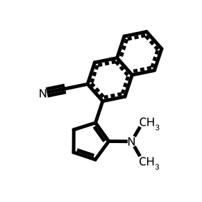 CN(C)C1=C(c2cc3ccccc3cc2C#N)CC=C1